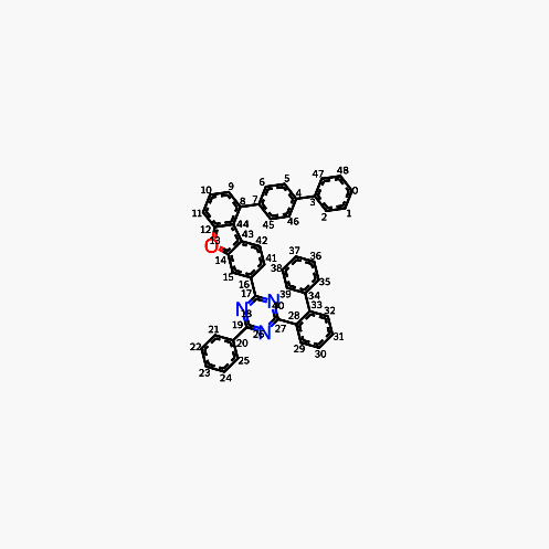 c1ccc(-c2ccc(-c3cccc4oc5cc(-c6nc(-c7ccccc7)nc(-c7ccccc7-c7ccccc7)n6)ccc5c34)cc2)cc1